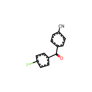 N#Cc1ccc(C(=O)c2ccc(F)cc2)cc1